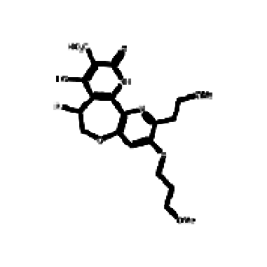 COCCCOc1cc2c(nc1CCOC)-c1[nH]c(=O)c(C(=O)O)c(O)c1C(C(C)C)CO2